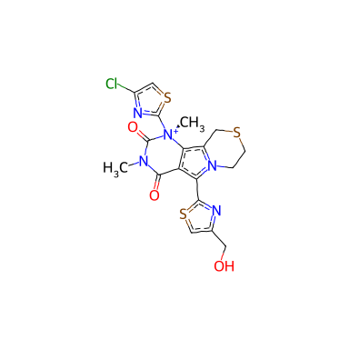 CN1C(=O)c2c(c3n(c2-c2nc(CO)cs2)CCSC3)[N@@+](C)(c2nc(Cl)cs2)C1=O